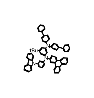 CC(C)(C)c1cc(N(c2ccc(-c3ccccc3)cc2)c2ccc(-c3ccccc3)cc2)cc(N(c2cccc(-n3c4ccccc4c4ccccc43)c2)c2ccc3c4ccccc4c4ccccc4c3c2)c1